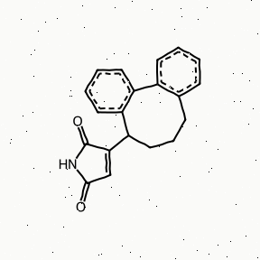 O=C1C=C(C2CCCc3ccccc3-c3ccccc32)C(=O)N1